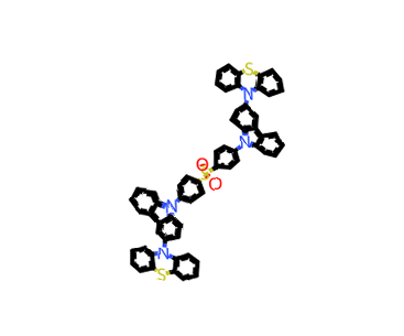 O=S(=O)(c1ccc(-n2c3ccccc3c3cc(N4c5ccccc5Sc5ccccc54)ccc32)cc1)c1ccc(-n2c3ccccc3c3cc(N4c5ccccc5Sc5ccccc54)ccc32)cc1